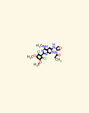 C=CC(=O)N[C@H]1COC[C@H]1Nc1cc2c(NC)nc(-c3c(Cl)c(OC)cc(OC)c3Cl)nc2cn1